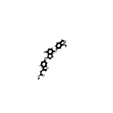 COC(=O)Cc1coc2cc(O[C@@H]3CCc4c(Oc5ccc6cnn(C)c6c5)ccc(F)c43)ccc12